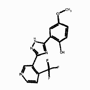 COc1ccc(O)c(-c2nc(-c3cnccc3C(F)(F)F)n[nH]2)c1